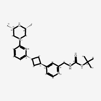 C[C@@H]1CN(c2cccc([C@H]3C[C@H](c4ccnc(CNC(=O)OC(C)(C)C)c4)C3)n2)C[C@H](C)O1